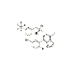 CS(=N)(=O)Cc1cc(Nc2ncc(F)c(-c3ccc(F)c4ccoc34)n2)cc(S(F)(F)(F)(F)F)c1